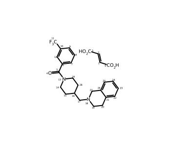 O=C(O)C=CC(=O)O.O=C(c1cccc(C(F)(F)F)c1)N1CCC(CN2CCc3ccccc3C2)CC1